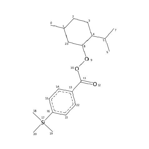 CC1CCC(C(C)C)[C](OOC(=O)c2ccc([Si](C)(C)C)cc2)C1